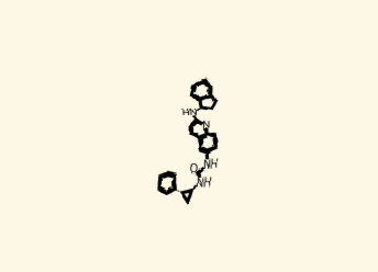 O=C(Nc1ccc2nc(N[C@@H]3CCc4ccccc43)ccc2c1)N[C@H]1C[C@@H]1c1ccccc1